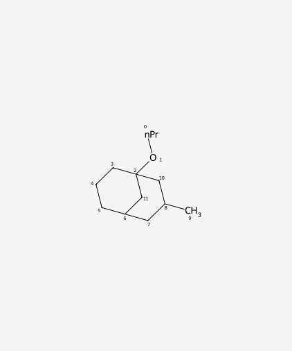 CCCOC12CCCC(CC(C)C1)C2